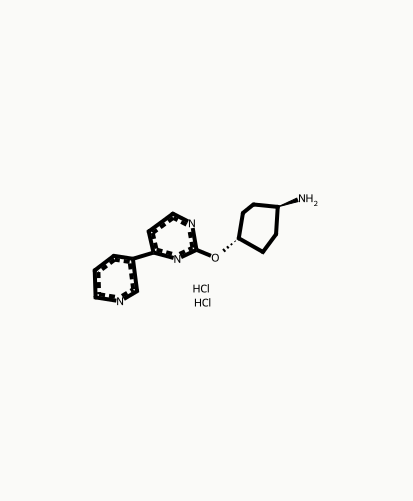 Cl.Cl.N[C@H]1CC[C@H](Oc2nccc(-c3cccnc3)n2)CC1